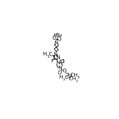 Cc1c(I)c(N2CCN(C(=O)OCC[Si](C)(C)C)CC23CCC3)nn1C1CC2(C1)CN(C(=O)OC(C)(C)C)C2